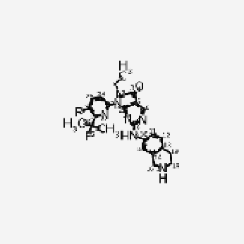 CCn1c(=O)c2cnc(Nc3ccc4c(c3)CNCC4)nc2n1-c1ccc(F)c(C(C)(C)F)n1